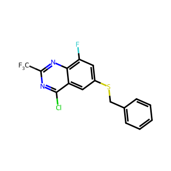 Fc1cc(SCc2ccccc2)cc2c(Cl)nc(C(F)(F)F)nc12